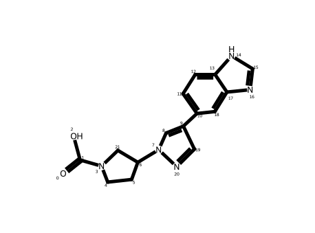 O=C(O)N1CCC(n2cc(-c3ccc4[nH]cnc4c3)cn2)C1